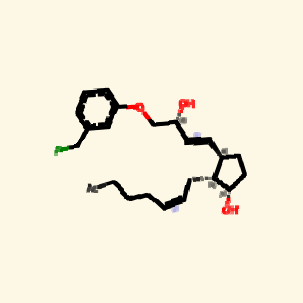 CC(=O)CCC/C=C\C[C@H]1[C@@H](O)CC[C@@H]1/C=C/[C@@H](O)COc1cccc(CF)c1